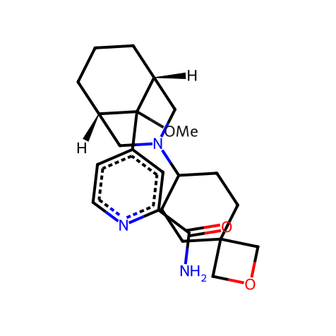 COC1(c2ccnc(C(N)=O)c2)[C@@H]2CCC[C@H]1CN(C1CCC3(CC1)COC3)C2